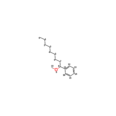 CCCCCCCCC(OC)c1ccccc1